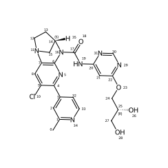 Cc1cc(-c2nc3c(cc2Cl)N2CC[C@@H](C2)N3C(=O)Nc2cc(OC[C@H](O)CO)ncn2)ccn1